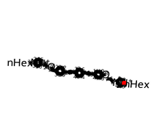 CCCCCC[N+]12CC[N+](CCCOc3ccc(C#Cc4ccc(C#Cc5ccc(COCC[N+]67CC[N+](CCCCCC)(CC6)CC7)cc5)cc4)cc3)(CC1)CC2